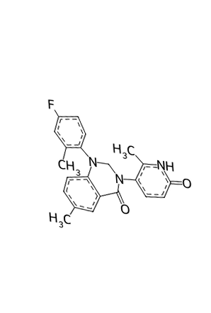 Cc1ccc2c(c1)C(=O)N(c1ccc(=O)[nH]c1C)CN2c1ccc(F)cc1C